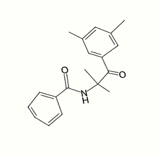 Cc1cc(C)cc(C(=O)C(C)(C)NC(=O)c2ccccc2)c1